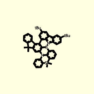 CC(C)(C)c1ccc2c(c1)c1cc(C(C)(C)C)cc3c1n2B1c2cccc4c2N(c2ccccc2[Si]4(C)C)c2cc4c(c-3c21)-c1ccccc1C4(C)C